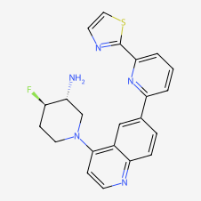 N[C@@H]1CN(c2ccnc3ccc(-c4cccc(-c5nccs5)n4)cc23)CC[C@H]1F